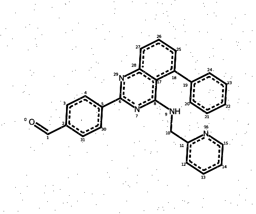 O=Cc1ccc(-c2nc(NCc3ccccn3)c3c(-c4ccccc4)cccc3n2)cc1